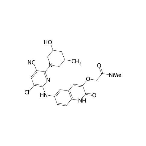 CNC(=O)COc1cc2cc(Nc3nc(N4CC(C)CC(O)C4)c(C#N)cc3Cl)ccc2[nH]c1=O